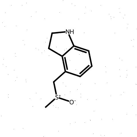 C[S+]([O-])Cc1cccc2c1CCN2